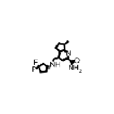 CC1CCc2c(CN[C@@H]3CCC(F)(F)C3)cc(C(N)=O)nc21